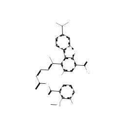 C=C(/C=C\C=C(/C)c1c(F)cc(C(N)=O)c2[nH]c3cc(C(C)C)ccc3c12)NC(=O)c1cccc(F)c1NC